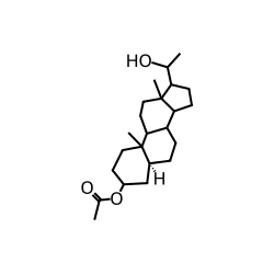 CC(=O)OC1CCC2(C)C3CCC4(C)C(C(C)O)CCC4C3CC[C@H]2C1